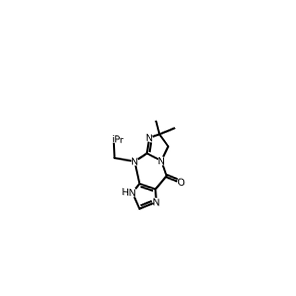 CC(C)CN1C2=NC(C)(C)CN2C(=O)c2nc[nH]c21